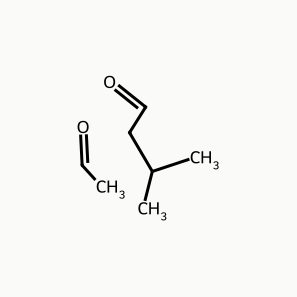 CC(C)CC=O.CC=O